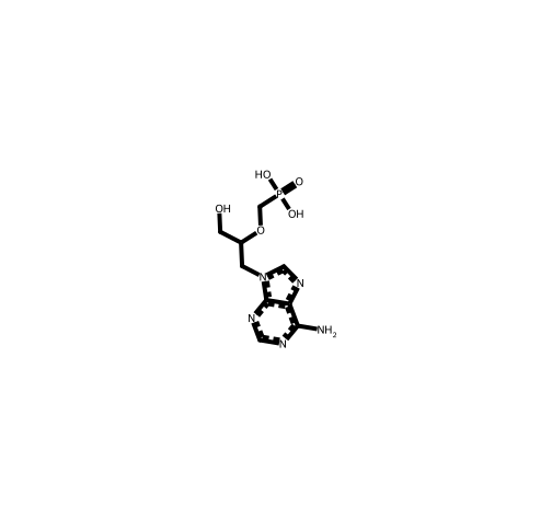 Nc1ncnc2c1ncn2CC(CO)OCP(=O)(O)O